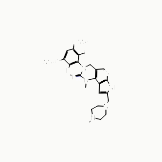 COc1cc(OC)c(F)c(N2Cc3cnc4[nH]c(CN5CCN(C)CC5)cc4c3N(C)/C2=P/C)c1F